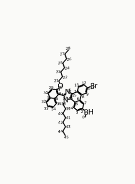 CBc1ccc2c(c1)c1cc(Br)ccc1c1nc(-c3c(OCCCCCCCC)ccc4ccccc34)n(CCCCCCCC)c21